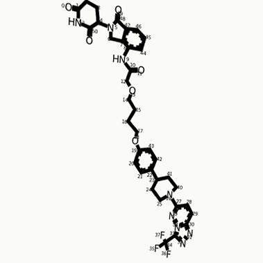 O=C1CCC(N2Cc3c(NC(=O)COCCCCOc4ccc(C5CCN(c6ccc7nnc(C(F)(F)F)n7n6)CC5)cc4)cccc3C2=O)C(=O)N1